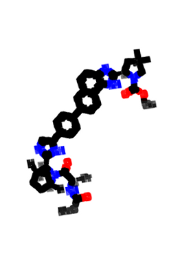 COC(=O)N[C@H](C(=O)N1[C@@H]2CC[C@@H](C2)[C@H]1c1ncc(-c2ccc(-c3ccc4c(ccc5nc([C@@H]6C[Si](C)(C)CN6C(=O)OC(C)(C)C)[nH]c54)c3)cc2)[nH]1)C(C)C